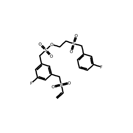 C=CS(=O)(=O)Cc1cc(F)cc(CS(=O)(=O)OCCS(=O)(=O)Cc2cccc(F)c2)c1